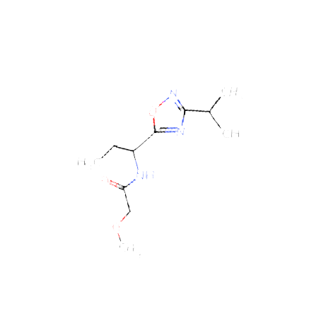 CCC(NC(=O)COC)c1nc(C(C)C)no1